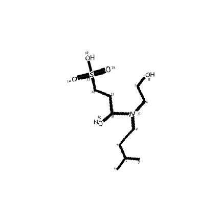 CC(C)CCN(CCO)C(O)CCS(=O)(=O)O